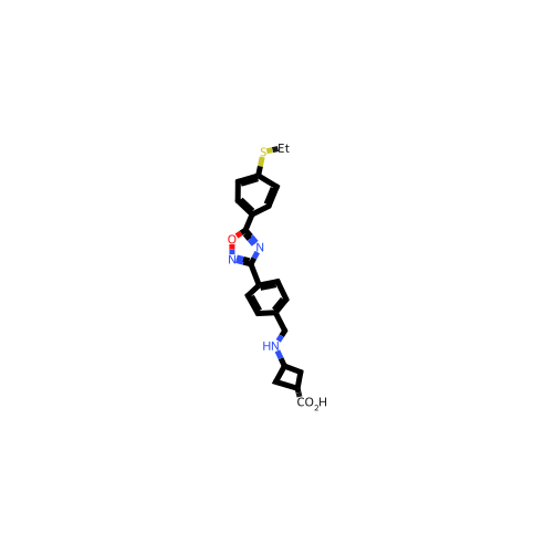 CCSc1ccc(-c2nc(-c3ccc(CNC4CC(C(=O)O)C4)cc3)no2)cc1